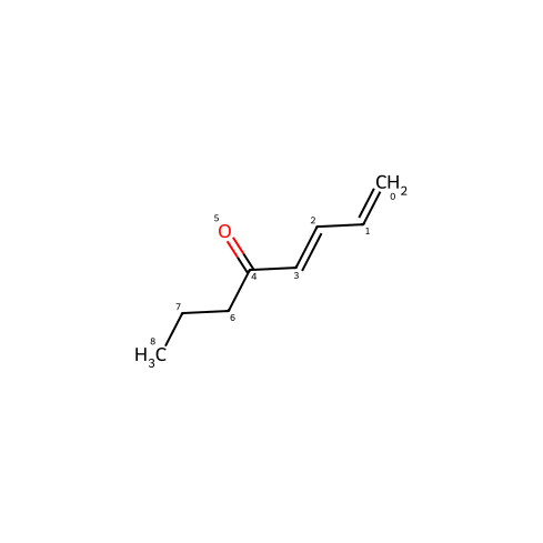 C=CC=CC(=O)CCC